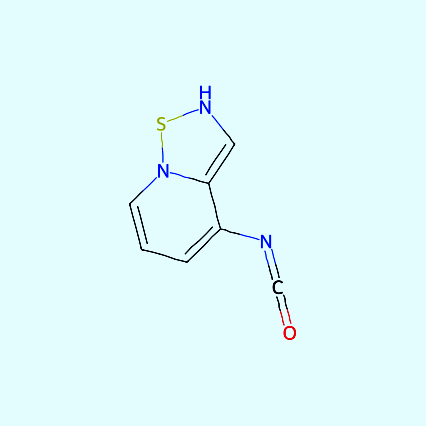 O=C=NC1=CC=CN2SNC=C12